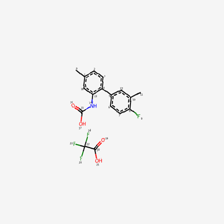 Cc1ccc(-c2ccc(F)c(C)c2)c(NC(=O)O)c1.O=C(O)C(F)(F)F